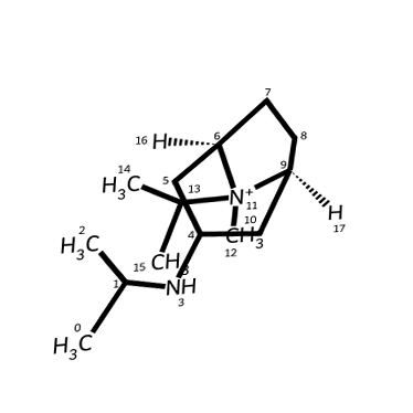 CC(C)NC1C[C@H]2CC[C@@H](C1)[N+]2(C)C(C)C